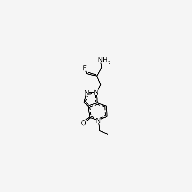 CCn1ccc2c(cnn2CC(=CF)CN)c1=O